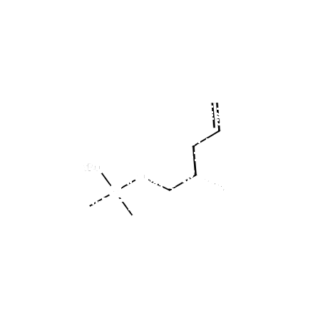 C=CC[C@H](C)CO[Si](C)(C)C(C)(C)C